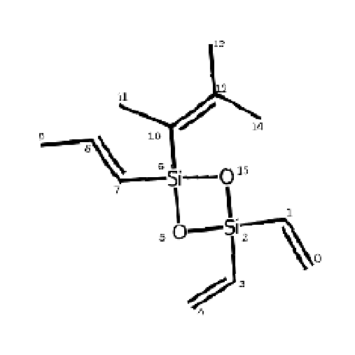 C=C[Si]1(C=C)O[Si](C=CC)(C(C)=C(C)C)O1